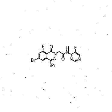 CC(C)c1nn(CC(=O)Nc2ncncc2F)c(=O)c2c(F)cc(Br)cc12